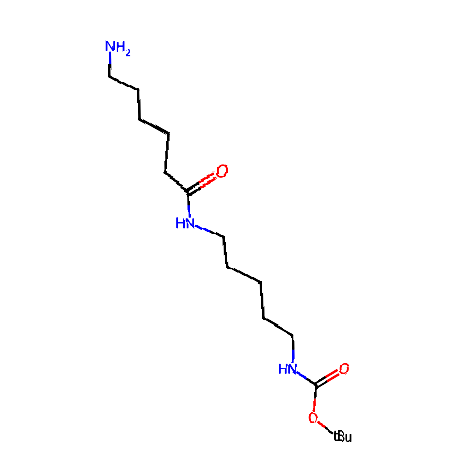 CC(C)(C)OC(=O)NCCCCCNC(=O)CCCCCN